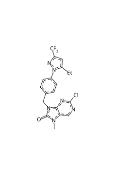 CCc1cc(C(F)(F)F)nn1-c1ccc(Cn2c(=O)n(C)c3cnc(Cl)nc32)cc1